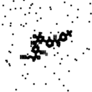 Cc1c(NC(=O)c2ccc(C(C)(C)C)cc2)cccc1-c1cn(C)c(=O)c(Nc2ccc(C(=O)N(C)CCO)c(N)c2)n1